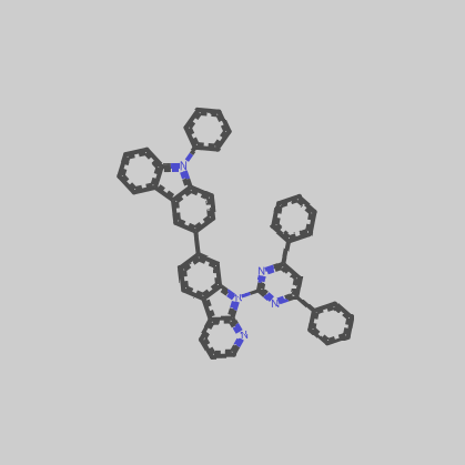 c1ccc(-c2cc(-c3ccccc3)nc(-n3c4cc(-c5ccc6c(c5)c5ccccc5n6-c5ccccc5)ccc4c4cccnc43)n2)cc1